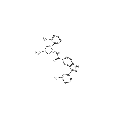 Cc1cc(-c2n[nH]c3ccc(C(=O)N[C@@H]4CN(C)C[C@H]4c4ccccc4C(F)(F)F)cc23)ccn1